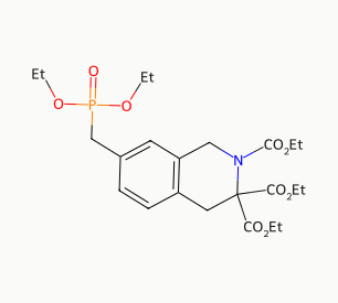 CCOC(=O)N1Cc2cc(CP(=O)(OCC)OCC)ccc2CC1(C(=O)OCC)C(=O)OCC